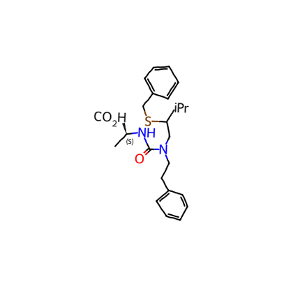 CC(C)C(CN(CCc1ccccc1)C(=O)N[C@@H](C)C(=O)O)SCc1ccccc1